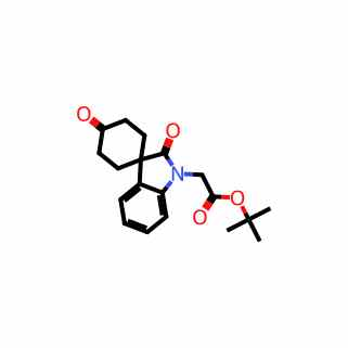 CC(C)(C)OC(=O)CN1C(=O)C2(CCC(=O)CC2)c2ccccc21